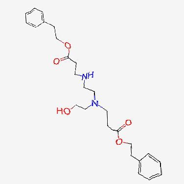 O=C(CCNCCN(CCO)CCC(=O)OCCc1ccccc1)OCCc1ccccc1